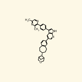 Cc1cnc(-c2ccc(-c3c[nH]c4ncc(-c5ccc6c(c5)CC[C@@H](N5C7COCC5C7)CC6)cc34)cc2)c(C)n1